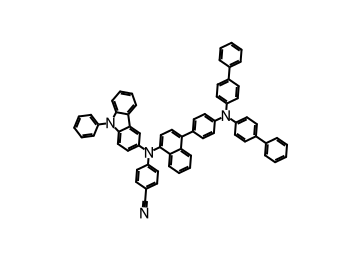 N#Cc1ccc(N(c2ccc3c(c2)c2ccccc2n3-c2ccccc2)c2ccc(-c3ccc(N(c4ccc(-c5ccccc5)cc4)c4ccc(-c5ccccc5)cc4)cc3)c3ccccc23)cc1